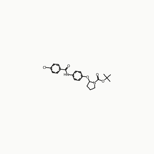 CC(C)(C)OC(=O)N1CCCC1Oc1ccc(NC(=O)c2ccc(Cl)cc2)cc1